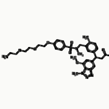 COc1cc(C(CC(=O)O)c2ccc(C)c(CN(C)S(=O)(=O)c3ccc(OCCOCCOCCN)cc3)c2)cc2nnn(C)c12